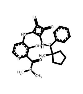 CN(C)C(=O)c1nccc(Nc2c(N[C@@H](c3ccccc3)C3(C)CCCC3)c(=O)c2=O)c1O